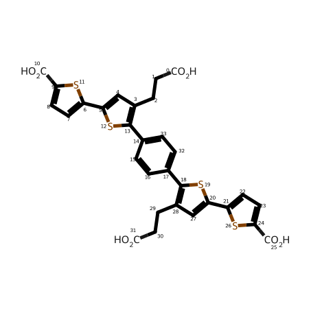 O=C(O)CCc1cc(-c2ccc(C(=O)O)s2)sc1-c1ccc(-c2sc(-c3ccc(C(=O)O)s3)cc2CCC(=O)O)cc1